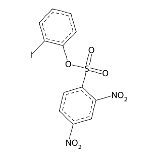 O=[N+]([O-])c1ccc(S(=O)(=O)Oc2ccccc2I)c([N+](=O)[O-])c1